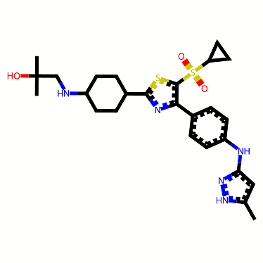 Cc1cc(Nc2ccc(-c3nc(C4CCC(NCC(C)(C)O)CC4)sc3S(=O)(=O)C3CC3)cc2)n[nH]1